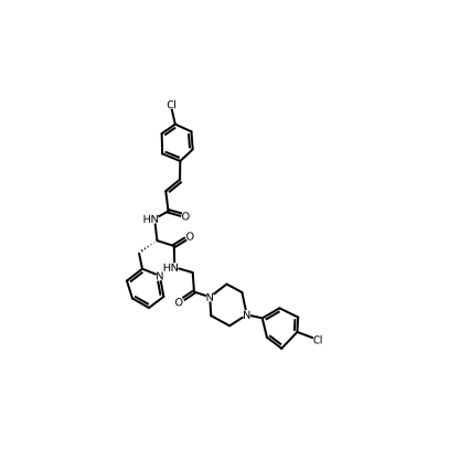 O=C(C=Cc1ccc(Cl)cc1)N[C@@H](Cc1ccccn1)C(=O)NCC(=O)N1CCN(c2ccc(Cl)cc2)CC1